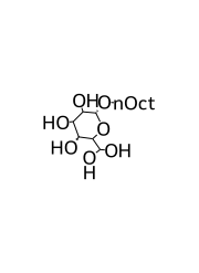 CCCCCCCCO[C@@H]1OC(C(O)O)[C@@H](O)C(O)C1O